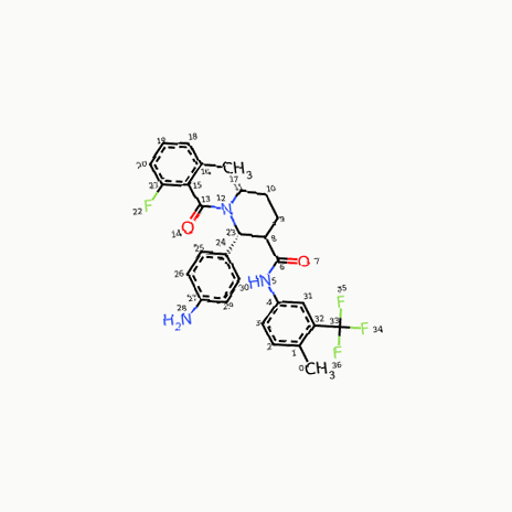 Cc1ccc(NC(=O)C2CCCN(C(=O)c3c(C)cccc3F)[C@H]2c2ccc(N)cc2)cc1C(F)(F)F